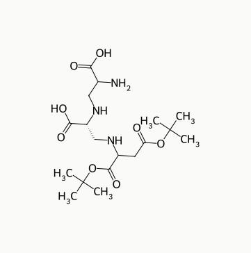 CC(C)(C)OC(=O)CC(NC[C@@H](NCC(N)C(=O)O)C(=O)O)C(=O)OC(C)(C)C